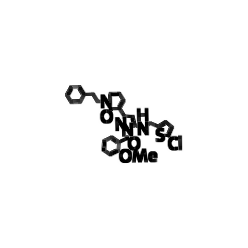 COc1ccccc1C(=O)n1nc(-c2cccn(CCc3ccccc3)c2=O)cc1NCc1ccc(Cl)s1